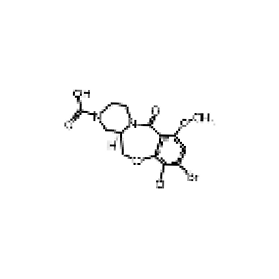 COc1cc(Br)c(Cl)c2c1C(=O)N1CCN(C(=O)O)C[C@@H]1CO2